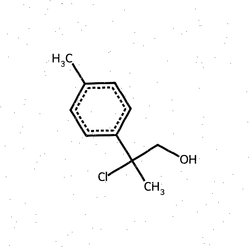 Cc1ccc(C(C)(Cl)CO)cc1